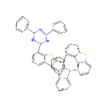 c1ccc(C2=NC(c3ccccc3)NC(c3cccc4c3sc3c(-c5cccc6sc7cccc(-n8c9ccccc9c9ccccc98)c7c56)cccc34)N2)cc1